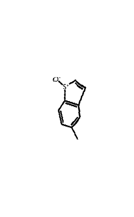 Cc1ccc2c(cc[s+]2[O-])c1